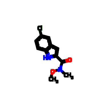 CON(C)C(=O)c1cc2cc(Cl)ccc2[nH]1